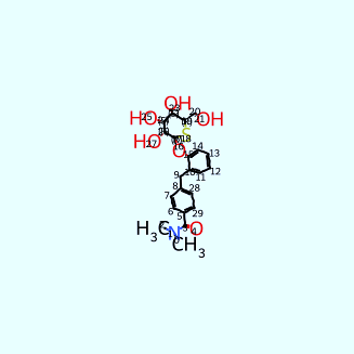 CN(C)C(=O)c1ccc(Cc2ccccc2O[C@@H]2S[C@H](CO)[C@@H](O)[C@H](O)[C@H]2O)cc1